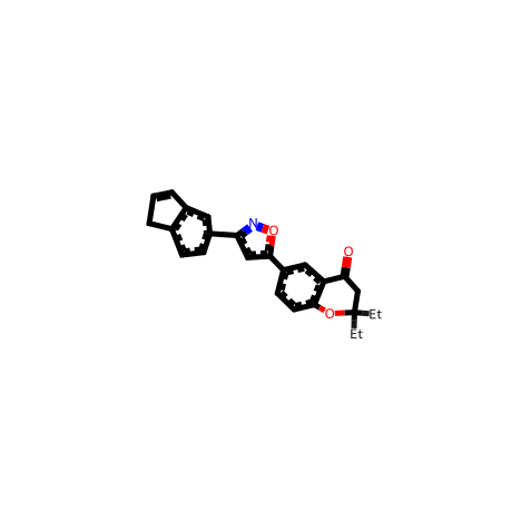 CCC1(CC)CC(=O)c2cc(-c3cc(-c4ccc5c(c4)C=CC5)no3)ccc2O1